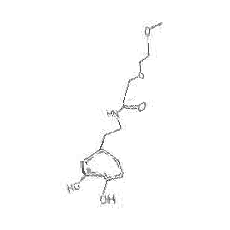 COCCOCC(=O)NCCc1ccc(O)c(O)c1